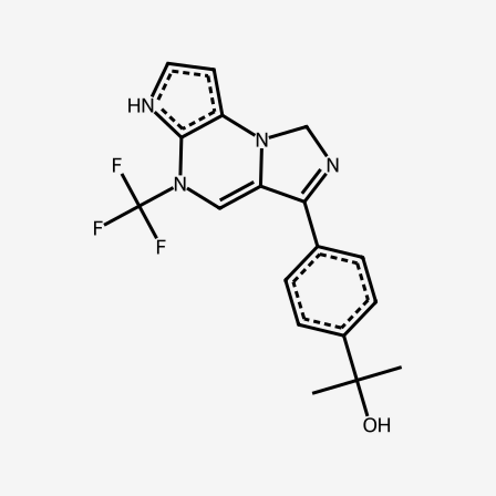 CC(C)(O)c1ccc(C2=NCN3C2=CN(C(F)(F)F)c2[nH]ccc23)cc1